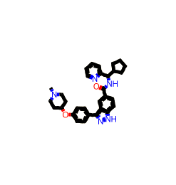 CN1CCC(Oc2ccc(-c3n[nH]c4ccc(C(=O)NC(c5ccccn5)C5CCCC5)cc34)cc2)CC1